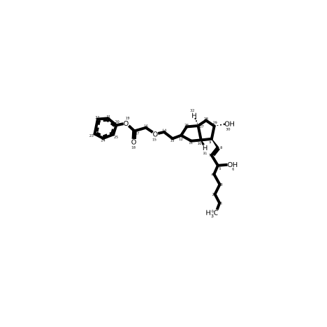 CCCCCC(O)C=C[C@H]1[C@@H]2CC(CCOCC(=O)Oc3ccccc3)C[C@H]2C[C@@H]1O